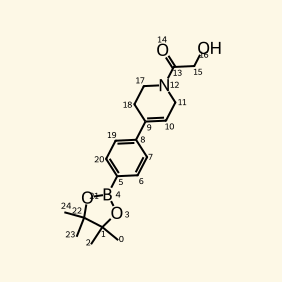 CC1(C)OB(c2ccc(C3=CCN(C(=O)CO)CC3)cc2)OC1(C)C